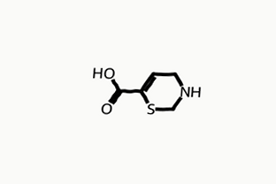 O=C(O)C1=CCNCS1